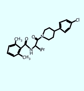 Cc1cccc(C)c1C(=O)NC(C(=O)N1CCC(c2ccc(Cl)cc2)CC1)C(C)C